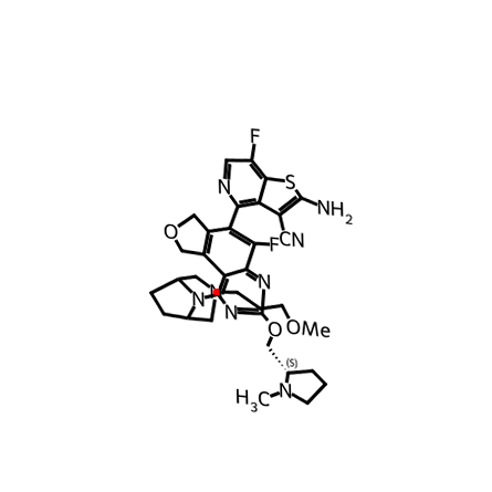 COCCCN1CC2CCC(C1)N2c1nc(OC[C@@H]2CCCN2C)nc2c(F)c(-c3ncc(F)c4sc(N)c(C#N)c34)c3c(c12)COC3